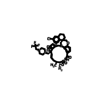 CO[C@@]1(CN2CCN(CC(F)(F)F)CC2)/C=C/C[C@H](C)[C@@H](C)S(=O)(=O)NC(=O)c2ccc3c(c2)N(C[C@@H]2CC[C@H]21)C[C@@]1(CCCc2cc(Cl)ccc21)CO3